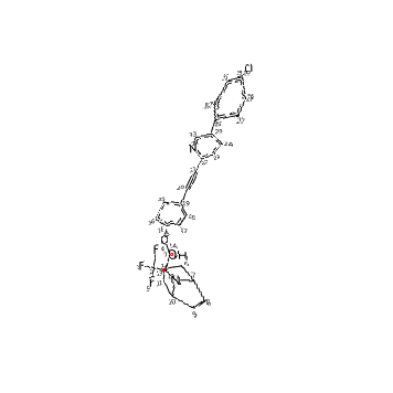 OC1(C(F)(F)F)CC2CCC(C1)N2CCOc1ccc(C#Cc2ccc(-c3ccc(Cl)cc3)cn2)cc1